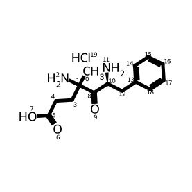 CC(N)(CCC(=O)O)C(=O)[C@@H](N)Cc1ccccc1.Cl